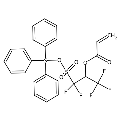 C=CC(=O)OC(C(F)(F)F)C(F)(F)S(=O)(=O)OS(c1ccccc1)(c1ccccc1)c1ccccc1